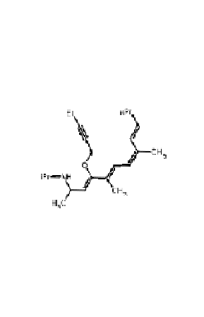 CCC#CCOC(=C\C(C)NC(C)C)/C(C)=C/C=C(C)\C=C\CCC